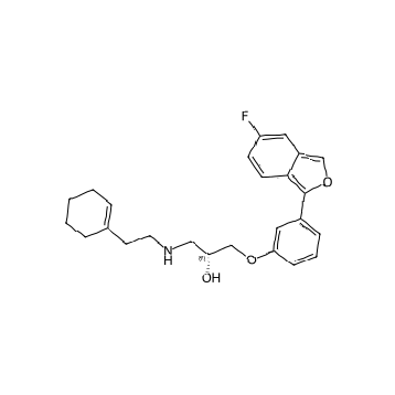 O[C@H](CNCCC1=CCCCC1)COc1cccc(-c2occ3cc(F)ccc23)c1